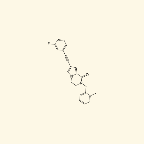 Cc1ccccc1CN1CCn2cc(C#Cc3cccc(F)c3)cc2C1=O